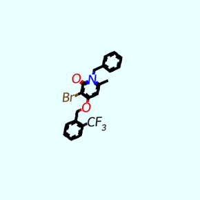 Cc1cc(OCc2ccccc2C(F)(F)F)c(Br)c(=O)n1Cc1ccccc1